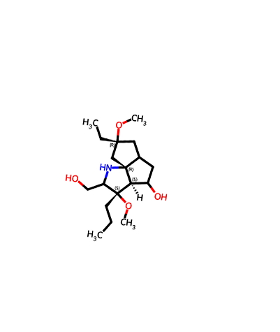 CCC[C@@]1(OC)C(CO)N[C@]23C[C@](CC)(OC)CC2CC(O)[C@H]31